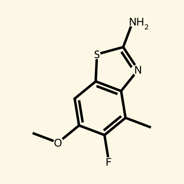 COc1cc2sc(N)nc2c(C)c1F